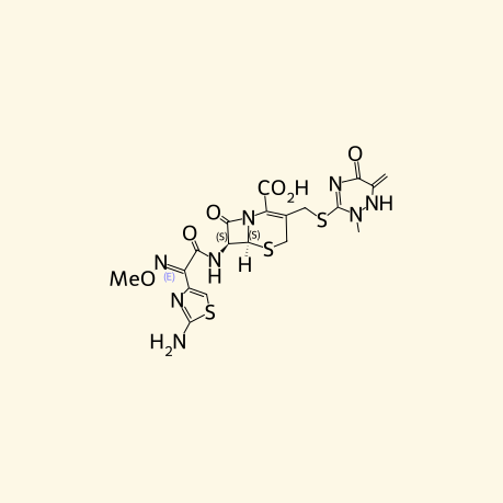 C=C1NN(C)C(SCC2=C(C(=O)O)N3C(=O)[C@H](NC(=O)/C(=N/OC)c4csc(N)n4)[C@@H]3SC2)=NC1=O